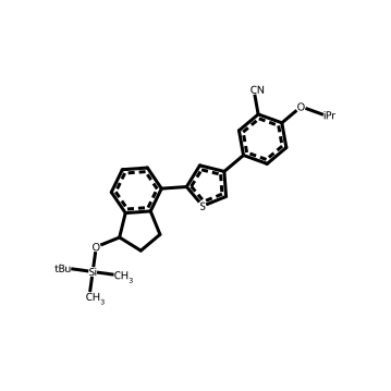 CC(C)Oc1ccc(-c2csc(-c3cccc4c3CCC4O[Si](C)(C)C(C)(C)C)c2)cc1C#N